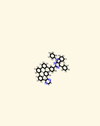 c1ccc(-c2nccnc2-c2cccc(-c3cccc(-c4cccc(-c5cccc(-c6nc(-c7ccccc7)c7c8ccccc8n(-c8ccccc8)c7n6)c5)c4)c3)c2)cc1